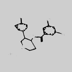 Cc1ccc(C2CN(C(=O)O)CCC2NC(=O)c2cc(Br)cc(C(F)(F)F)c2)cc1